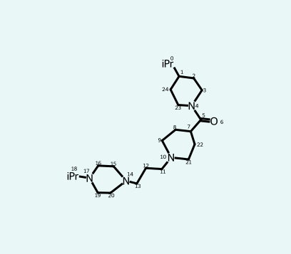 CC(C)C1CCN(C(=O)C2CCN(CCCN3CCN(C(C)C)CC3)CC2)CC1